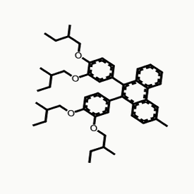 CCC(C)COc1ccc(-c2c(-c3ccc(OCC(C)CC)c(OCC(C)CC)c3)c3ccc(C)cc3c3ccccc23)cc1OCC(C)CC